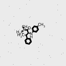 Cc1ccc(N[C@H](C(=O)N(C)C)[C@@H](C)c2ccccc2)cc1